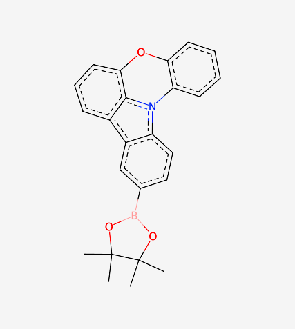 CC1(C)OB(c2ccc3c(c2)c2cccc4c2n3-c2ccccc2O4)OC1(C)C